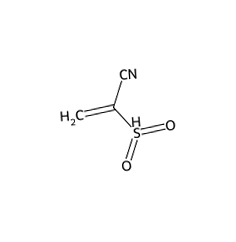 C=C(C#N)[SH](=O)=O